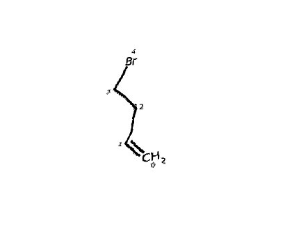 C=C[CH]CBr